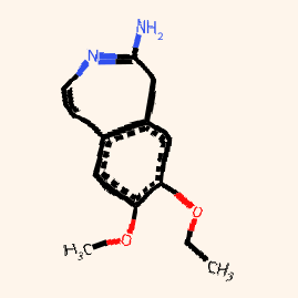 CCOc1cc2c(cc1OC)C=CN=C(N)C2